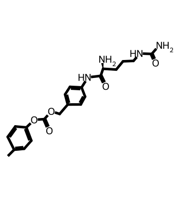 Cc1ccc(OC(=O)OCc2ccc(NC(=O)[C@@H](N)CCCNC(N)=O)cc2)cc1